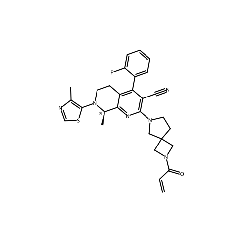 C=CC(=O)N1CC2(CCN(c3nc4c(c(-c5ccccc5F)c3C#N)CCN(c3scnc3C)[C@@H]4C)C2)C1